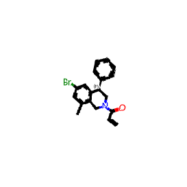 C=CC(=O)N1Cc2c(C)cc(Br)cc2[C@@H](c2ccccc2)C1